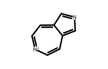 C1=CC2=CN=CC2=CC=[N+]1